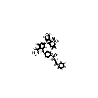 CC1(C)Cc2c(c3c(n2-c2cc(F)c(C(N)=O)c(N[C@H]4CC[C@H](C(=O)NCCN5CCCCC5)CC4)c2)COC3)S(=O)(=O)C1